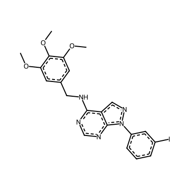 COc1cc(CNc2ncnc3c2cnn3-c2cccc(I)c2)cc(OC)c1OC